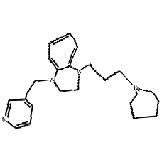 c1cncc(CN2CCN(CCCN3CCCCC3)c3ccccc32)c1